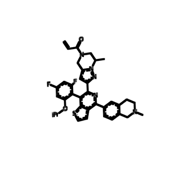 C=CC(=O)N1Cc2cc(-c3nc(-c4ccc5c(c4)CCN(C)C5)c4ccsc4c3-c3c(F)cc(F)cc3OC(C)C)nn2C(C)C1